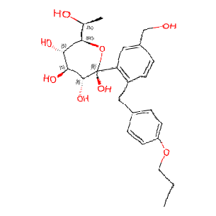 CCCOc1ccc(Cc2ccc(CO)cc2[C@@]2(O)O[C@H]([C@H](C)O)[C@@H](O)[C@H](O)[C@H]2O)cc1